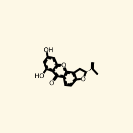 C=C(C)[C@H]1Cc2c(ccc3c(=O)c4c(O)cc(O)cc4oc23)O1